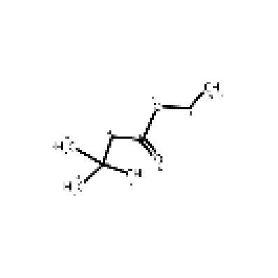 [CH2]C(C)(C)CC(=O)OCC